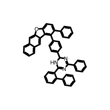 c1ccc(C2=NC(c3ccc(-c4c(-c5ccccc5)ccc5oc6cc7ccccc7cc6c45)cc3)NC(c3ccccc3-c3ccccc3)=N2)cc1